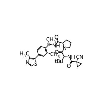 Cc1cc(-c2scnc2C)ccc1[C@H](C)NC(=O)C1CCCN1C(=O)C(NC(=O)C1(C#N)CC1)C(C)(C)C